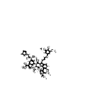 Cc1cc(OCCCc2c3n(c4c(-c5c(C)nn(C)c5C)c(Cl)ccc24)C(C)CN(c2cc(N(C)C(=O)CN4CCCC4)cc4c(C(=O)O)cn(C)c24)C3=O)cc(C)c1Cl